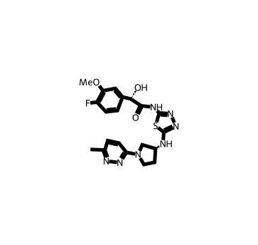 COc1cc([C@H](O)C(=O)Nc2nnc(N[C@@H]3CCN(c4ccc(C)nn4)C3)s2)ccc1F